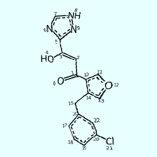 O=C(C=C(O)c1nc[nH]n1)c1cocc1Cc1cccc(Cl)c1